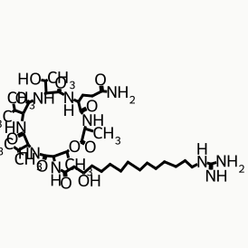 CC1NC(=O)C(CCC(N)=O)NC(=O)C(C(C)O)NC(=O)C(C(C)C)NC(=O)C(C(C)C)NC(=O)C(NC(=O)CC(O)CCCCCCCCCCCCNC(=N)N)C(C)OC1=O